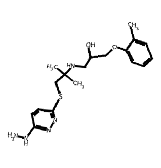 Cc1ccccc1OCC(O)CNC(C)(C)CSc1ccc(NN)nn1